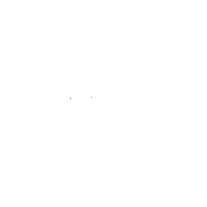 CCCCNSNC1C[C@H](C)C2COC(=O)N12